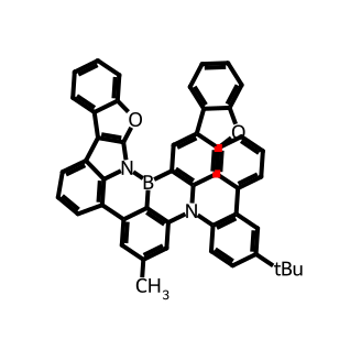 Cc1cc2c3c(c1)N(c1ccc(C(C)(C)C)cc1-c1ccccc1)c1cc4oc5ccccc5c4cc1B3n1c3oc4ccccc4c3c3cccc-2c31